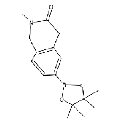 CN1Cc2ccc(B3OC(C)(C)C(C)(C)O3)cc2CC1=O